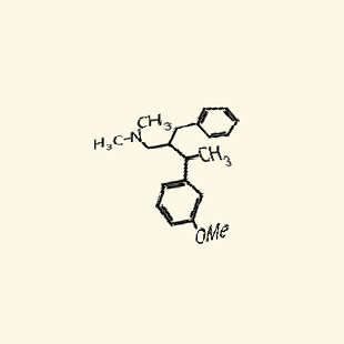 COc1cccc(C(C)C(Cc2ccccc2)CN(C)C)c1